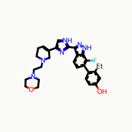 CCc1cc(O)ccc1-c1ccc2c(-c3nc(C4=CCCN(CCN5CCOCC5)C4)c[nH]3)n[nH]c2c1F